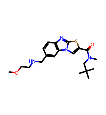 COCCNCc1ccc2nc3sc(C(=O)N(C)CC(C)(C)C)cn3c2c1